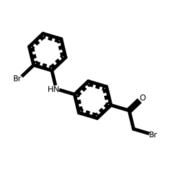 O=C(CBr)c1ccc(Nc2ccccc2Br)cc1